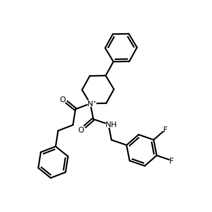 O=C(CCc1ccccc1)[N+]1(C(=O)NCc2ccc(F)c(F)c2)CCC(c2ccccc2)CC1